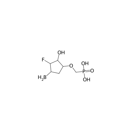 BC1CC(OCP(=O)(O)O)C(O)C1F